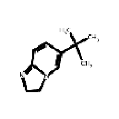 CC(C)(C)C1=CN2CCN=C2C=C1